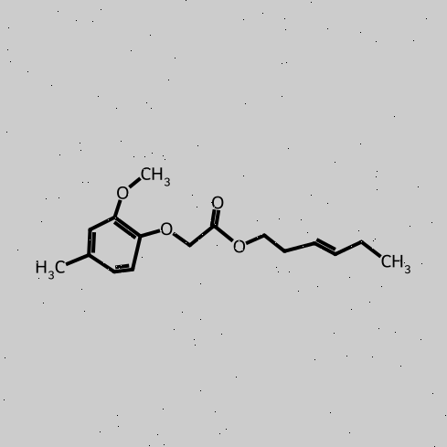 CCC=CCCOC(=O)COc1ccc(C)cc1OC